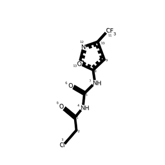 O=C(CCl)NC(=O)Nc1cc(C(F)(F)F)no1